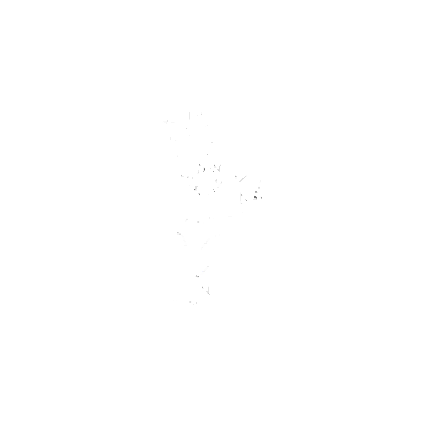 CCC(=O)N/C=C/c1ccc(CNC(=O)N(NC(=O)c2ccnn2CC)C2CCC(F)(F)CC2)cc1